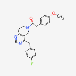 COc1ccc(CC(=O)N2CCc3ncnc(Cc4ccc(F)cc4)c3C2)cc1